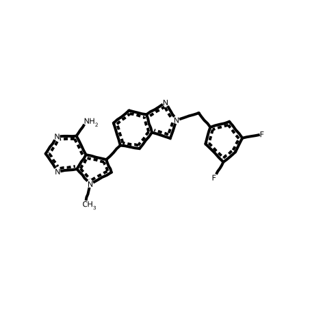 Cn1cc(-c2ccc3nn(Cc4cc(F)cc(F)c4)cc3c2)c2c(N)ncnc21